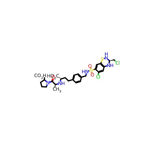 C[C@H](N[C@@H](CCc1ccc(CNS(=O)(=O)c2cc3c(cc2Cl)N[C@H](CCl)NS3)cc1)C(=O)O)C(=O)N1CCCC1C(=O)O